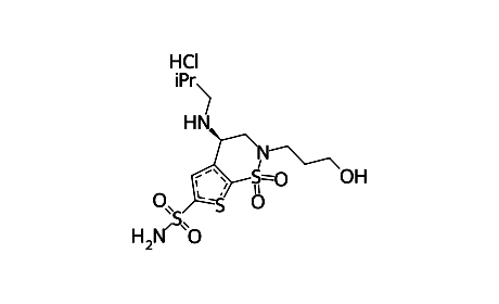 CC(C)CN[C@H]1CN(CCCO)S(=O)(=O)c2sc(S(N)(=O)=O)cc21.Cl